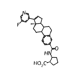 C[C@]12CCC3c4ccc(C(=O)N[C@H]5CCC[C@H]5C(=O)O)cc4CCC3C1CC=C2c1cncc(F)c1